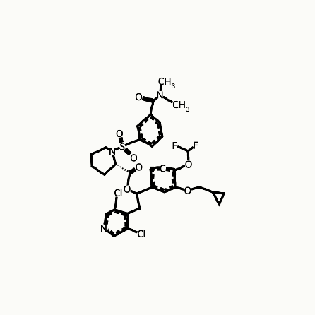 CN(C)C(=O)c1cccc(S(=O)(=O)N2CCCC[C@H]2C(=O)OC(Cc2c(Cl)cncc2Cl)c2ccc(OC(F)F)c(OCC3CC3)c2)c1